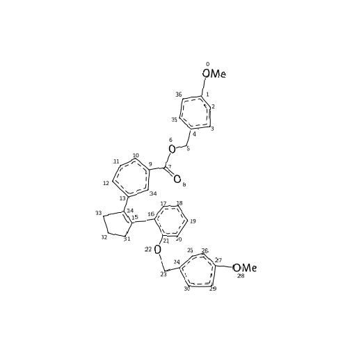 COc1ccc(COC(=O)c2cccc(C3=C(c4ccccc4OCc4ccc(OC)cc4)CCC3)c2)cc1